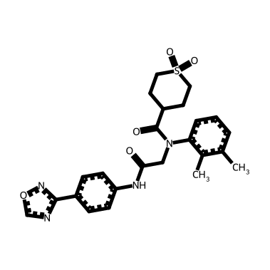 Cc1cccc(N(CC(=O)Nc2ccc(-c3ncon3)cc2)C(=O)C2CCS(=O)(=O)CC2)c1C